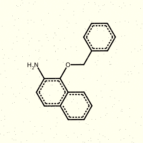 Nc1ccc2ccccc2c1OCc1ccccc1